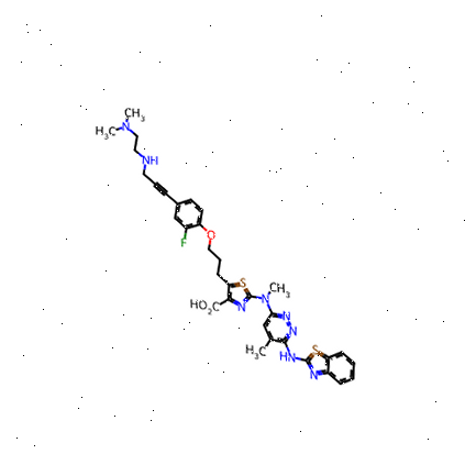 Cc1cc(N(C)c2nc(C(=O)O)c(CCCOc3ccc(C#CCNCCN(C)C)cc3F)s2)nnc1Nc1nc2ccccc2s1